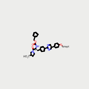 CCCCCCCOc1ccc(-c2cnc(-c3ccc(C[C@H](NC(=O)OCc4ccccc4)C(=O)N4CCC(C(=O)O)C4)cc3)nc2)cc1